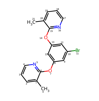 Cc1cccnc1Oc1cc(Br)cc(Oc2ncccc2C)c1